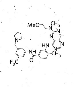 COCCN(C)c1ncc2ncnc(Nc3cc(C(=O)Nc4cc(CN5CCCC5)cc(C(F)(F)F)c4)ccc3C)c2n1